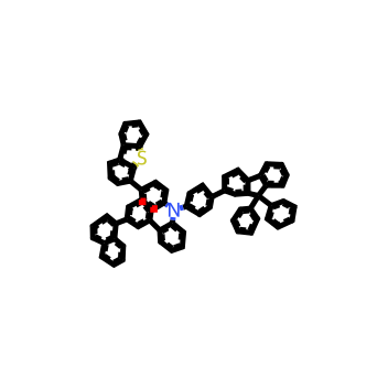 c1ccc(C2(c3ccccc3)c3ccccc3-c3ccc(-c4ccc(N(c5ccc(-c6cccc7c6sc6ccccc67)cc5)c5ccccc5-c5cccc(-c6cccc7ccccc67)c5)cc4)cc32)cc1